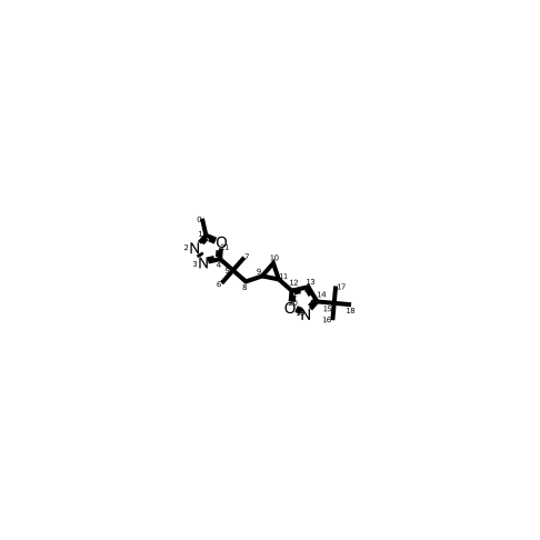 Cc1nnc(C(C)(C)CC2CC2c2cc(C(C)(C)C)no2)o1